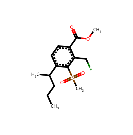 CCCC(C)c1ccc(C(=O)OC)c(CF)c1S(C)(=O)=O